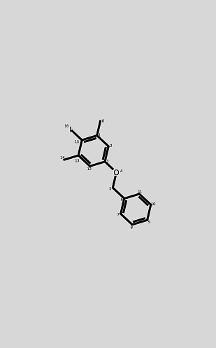 Cc1cc(OCc2ccccc2)cc(C)c1I